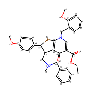 CCOC(=O)c1cn(Cc2ccccc2OC)c2c(c1=O)C(CN(C)Cc1ccccc1)C(c1ccc(OC)cc1)S2